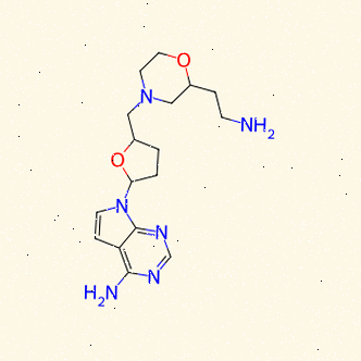 NCCC1CN(CC2CCC(n3ccc4c(N)ncnc43)O2)CCO1